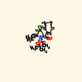 CC(C)(C)OC(=O)N1[C@@H](C(O)c2ccccc2Cl)CCC1(C)C